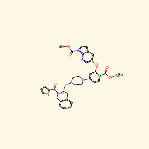 CC(C)(C)OC(=O)c1ccc(N2CCN(C[C@@H]3Cc4ccccc4CN3C(=O)c3cccs3)CC2)cc1Oc1cnc2c(ccn2C(=O)OC(C)(C)C)c1